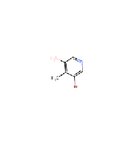 Bc1cncc(Br)c1C